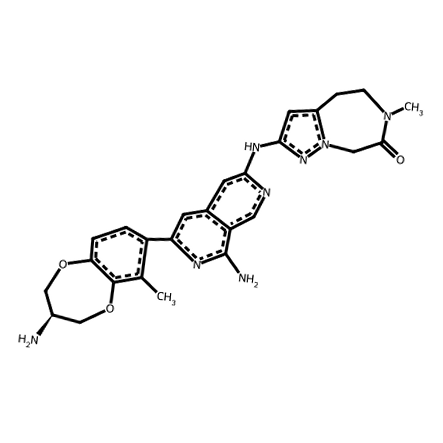 Cc1c(-c2cc3cc(Nc4cc5n(n4)CC(=O)N(C)CC5)ncc3c(N)n2)ccc2c1OC[C@@H](N)CO2